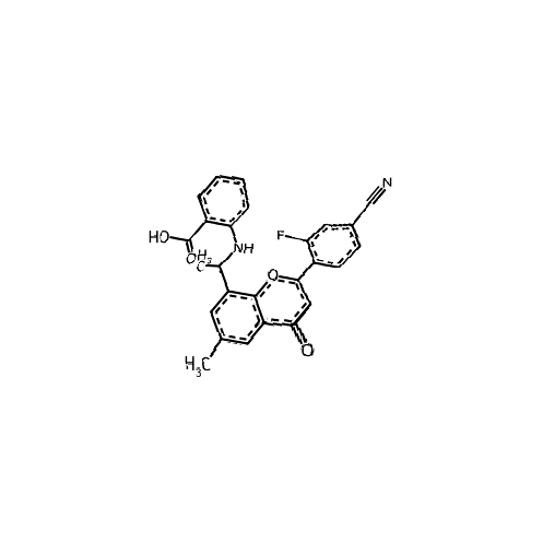 Cc1cc(C(C)Nc2ccccc2C(=O)O)c2oc(-c3ccc(C#N)cc3F)cc(=O)c2c1